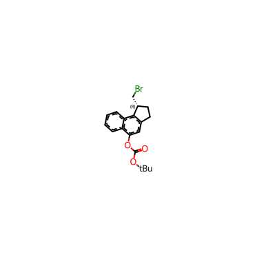 CC(C)(C)OC(=O)Oc1cc2c(c3ccccc13)[C@H](CBr)CC2